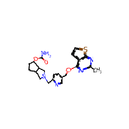 Cc1nc(OCc2ccc(CN3CC4CCC(OC(N)=O)C4C3)nc2)c2ccsc2n1